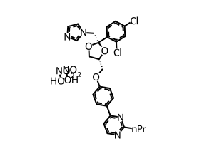 CCCc1nccc(-c2ccc(OC[C@@H]3CO[C@@](Cn4ccnc4)(c4ccc(Cl)cc4Cl)O3)cc2)n1.O=[N+]([O-])O.O=[N+]([O-])O